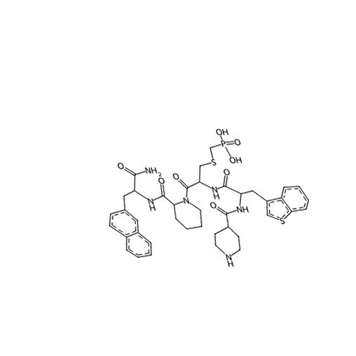 NC(=O)C(Cc1ccc2ccccc2c1)NC(=O)C1CCCCN1C(=O)C(CSCP(=O)(O)O)NC(=O)C(Cc1csc2ccccc12)NC(=O)C1CCNCC1